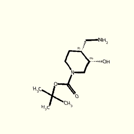 CC(C)(C)OC(=O)N1CC[C@H](CN)[C@H](O)C1